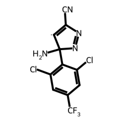 N#CC1=[C]C(N)(c2c(Cl)cc(C(F)(F)F)cc2Cl)N=N1